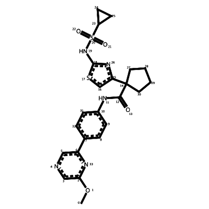 COc1cncc(-c2ccc(NC(=O)C3(c4csc(NS(=O)(=O)C5CC5)n4)CCCC3)cc2)n1